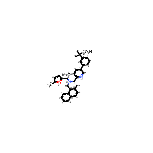 COc1cc(-c2cccc(C(C)(C)C(=O)O)c2)cnc1CN(Cc1ccc(C(F)(F)F)o1)Cc1c(C)ccc2ccccc12